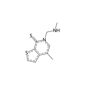 CNCn1cc(C)c2ccsc2c1=S